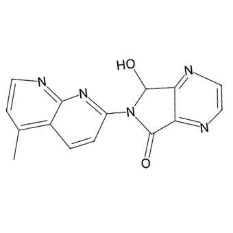 Cc1ccnc2nc(N3C(=O)c4nccnc4C3O)ccc12